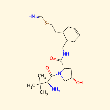 CC(C)(C)[C@H](N)C(=O)N1C[C@H](O)C[C@H]1C(=O)NCC1CC=CC[C@H]1CCSC=N